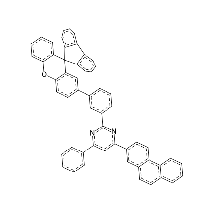 c1ccc(-c2cc(-c3ccc4c(ccc5ccccc54)c3)nc(-c3cccc(-c4ccc5c(c4)C4(c6ccccc6O5)c5ccccc5-c5ccccc54)c3)n2)cc1